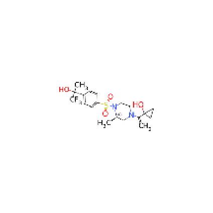 C=C(N1CCN(S(=O)(=O)c2ccc(C(C)(O)C(F)(F)F)cc2)[C@H](C)C1)C1(O)CC1